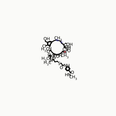 CNC(=O)c1ccc(NC(=O)CSCCC(=O)N(C)[C@@H](C)C(=O)O[C@H]2CC(=O)N(C)c3cc(cc(CO)c3Cl)C/C(C)=C/C=C/[C@@H](CO)[C@@]3(O)C[C@H](OC(=O)N3)[C@@H](C)[C@@H]3O[C@@]23C)cc1